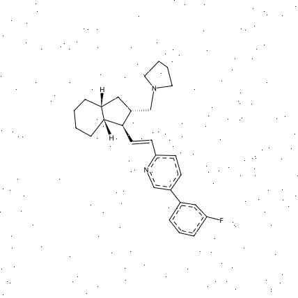 Fc1cccc(-c2ccc(/C=C/[C@@H]3[C@@H](CN4CCCC4)C[C@H]4CCCC[C@H]43)nc2)c1